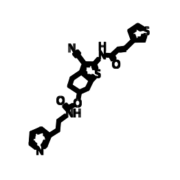 N#Cc1c(NC(=O)C=Cc2ccsc2)sc2c1CCC(OC(=O)NCCc1cccnc1)C2